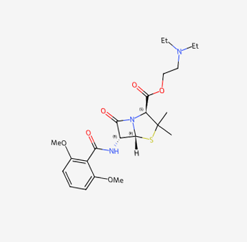 CCN(CC)CCOC(=O)[C@@H]1N2C(=O)[C@@H](NC(=O)c3c(OC)cccc3OC)[C@H]2SC1(C)C